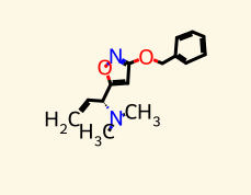 C=C[C@H](c1cc(OCc2ccccc2)no1)N(C)C